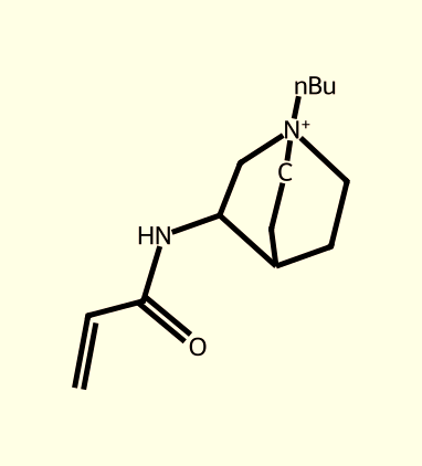 C=CC(=O)NC1C[N+]2(CCCC)CCC1CC2